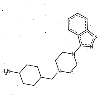 NC1CCC(CN2CCN(c3nsc4ccccc34)CC2)CC1